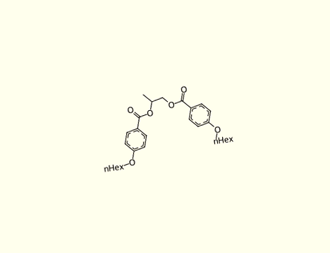 CCCCCCOc1ccc(C(=O)OCC(C)OC(=O)c2ccc(OCCCCCC)cc2)cc1